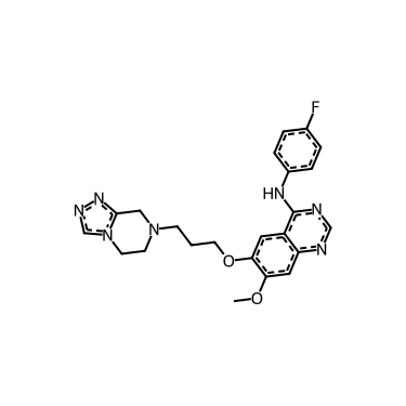 COc1cc2ncnc(Nc3ccc(F)cc3)c2cc1OCCCN1CCn2cnnc2C1